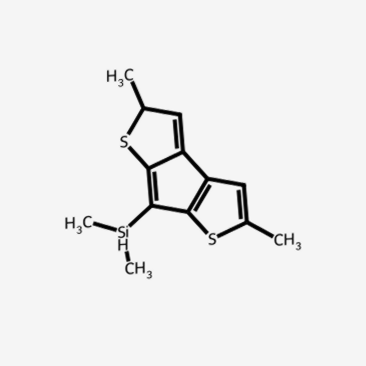 Cc1cc2c(s1)C([SiH](C)C)=C1SC(C)C=C12